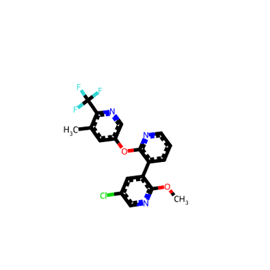 COc1ncc(Cl)cc1-c1cccnc1Oc1cnc(C(F)(F)F)c(C)c1